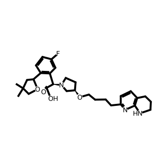 CC1(C)COC(c2ccc(F)cc2[C@H](C(=O)O)N2CC[C@@H](OCCCCc3ccc4c(n3)NCCC4)C2)C1